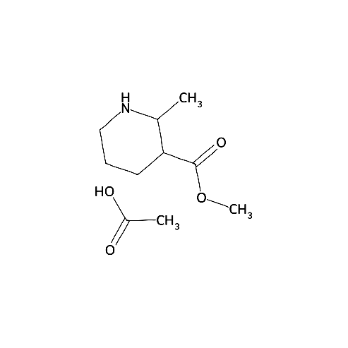 CC(=O)O.COC(=O)C1CCCNC1C